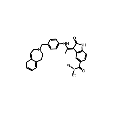 CCN(CC)C(=O)c1ccc2c(c1)/C(=C(\C)Nc1ccc(CN3CC=C4CC=CC=C4CC3)cc1)C(=O)N2